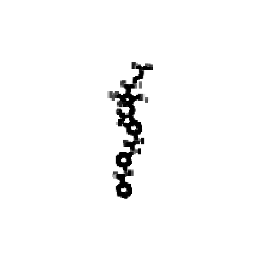 CCN(CC)CCNC(=O)c1c(C)[nH]c(C=C2C(=O)Nc3cc(NC(=O)Nc4cccc(NC(=O)c5ccccc5)c4)ccc32)c1C